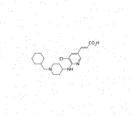 O=C(O)C=Cc1cnc(NC2CCN(CC3CCCCC3)CC2)c(Cl)c1